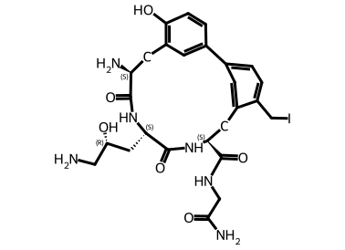 NC[C@H](O)C[C@@H]1NC(=O)[C@@H](N)Cc2cc(ccc2O)-c2ccc(CI)c(c2)C[C@@H](C(=O)NCC(N)=O)NC1=O